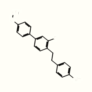 CCCOc1ccc(-c2ccc(CCc3ccc(CCC)cc3)c(F)c2)cc1